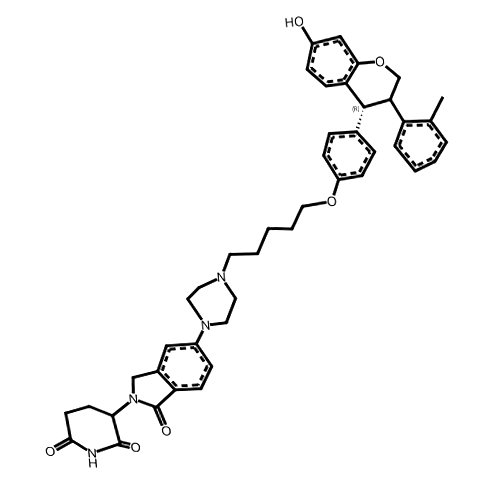 Cc1ccccc1C1COc2cc(O)ccc2[C@H]1c1ccc(OCCCCCN2CCN(c3ccc4c(c3)CN(C3CCC(=O)NC3=O)C4=O)CC2)cc1